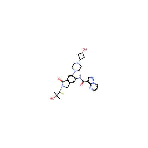 CC(C)(O)[C@H](F)CN1Cc2cc(NC(=O)c3cnn4cccnc34)c(N3CCN([C@H]4C[C@@H](O)C4)CC3)cc2C1=O